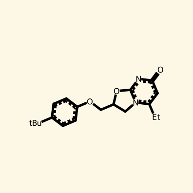 CCc1cc(=O)nc2n1CC(COc1ccc(C(C)(C)C)cc1)O2